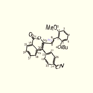 COc1cccc(OCC(C)C)c1/C=C/c1oc(=O)c2ccccc2c1-c1ccc(C#N)cc1